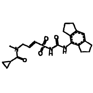 CN(C/C=C/S(=O)(=O)NC(=O)Nc1c2c(cc3c1CCC3)CCC2)C(=O)C1CC1